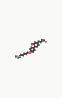 CCCCCCOc1ccc(C2CCC(CCC)CC2=O)cc1